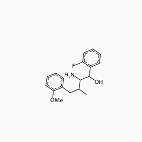 COc1ccccc1CC(C)C(N)C(O)c1ccccc1F